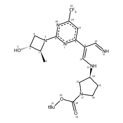 C[C@H]1[C@H](O)CN1c1nc(/C(C=N)=C/N[C@H]2CCN(C(=O)OC(C)(C)C)C2)cc(C(F)(F)F)n1